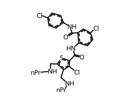 CCCNCc1sc(C(=O)Nc2ccc(Cl)cc2C(=O)Nc2ccc(Cl)cc2)c(Cl)c1CNCCC